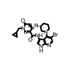 N[C@@H]1CCCN(c2c(Br)cnc3[nH]cc(NC(=O)c4ccc(=O)n(CC5CC5)n4)c23)C1